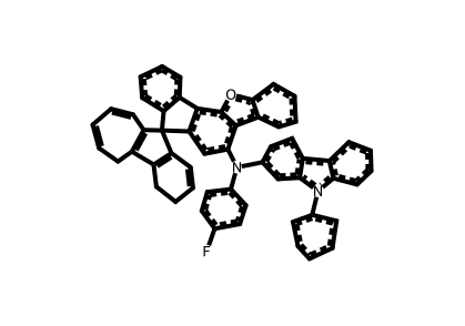 Fc1ccc(N(c2ccc3c4ccccc4n(-c4ccccc4)c3c2)c2cc3c(c4oc5ccccc5c24)-c2ccccc2C32C3=C(CC=CC=C3)C3=C2C=CCC3)cc1